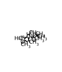 COc1cc(C)c2c(cc(C)n2C(=O)OC(C)(C)C)c1CO